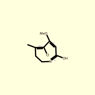 COC1=C/C(O)=N\CC\C(C)=C\1Cl